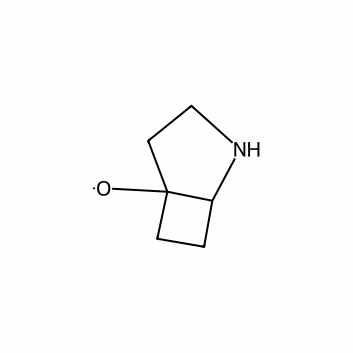 [O]C12CCNC1CC2